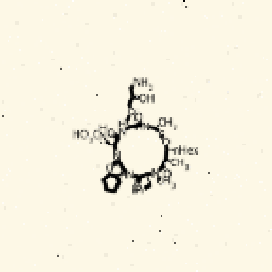 CCCCCC[C@H]1OC[C@@H](C)NC(=O)[C@H](COCC(O)CN)NC(=O)[C@H](CNC(=O)O)NC(=O)[C@H](C2CCCCC2)NC(=O)[C@H](CC(C)C)N(C)C(=O)[C@@H]1C